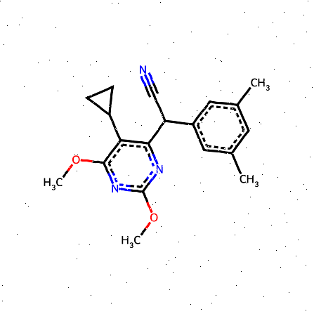 COc1nc(OC)c(C2CC2)c(C(C#N)c2cc(C)cc(C)c2)n1